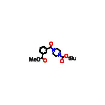 COC(=O)c1cccc(C(=O)N2CCN(C(=O)OC(C)(C)C)CC2)c1